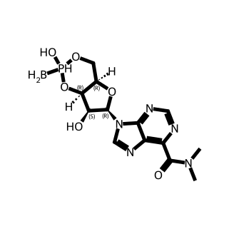 B[PH]1(O)OC[C@H]2O[C@@H](n3cnc4c(C(=O)N(C)C)ncnc43)[C@@H](O)[C@H]2O1